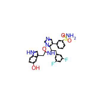 NS(=O)(=O)c1cccc(-c2cncnc2C(Cc2cc(F)cc(F)c2)NC(=O)Cc2c[nH]c3ccc(O)cc23)c1